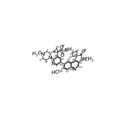 CN1CCN(c2ncc(-c3ccc4ncc5c(c4c3)C3(CCC3)C(=O)N5C)cc2C2(S(N)(=O)=O)CC2)CC1.Cl